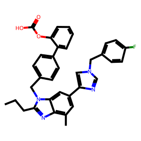 CCCc1nc2c(C)cc(-c3cn(Cc4ccc(F)cc4)cn3)cc2n1Cc1ccc(-c2ccccc2OC(=O)O)cc1